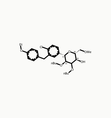 CCCCOC1[C@@H](OCCCC)[C@H](c2ccc(Cl)c(Cc3ccc(OCC)cc3)c2)O[C@H](COC)[C@H]1O